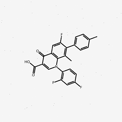 Cc1ccc(-c2c(F)cc3c(=O)c(C(=O)O)cn(-c4ccc(F)cc4F)c3c2C)cc1